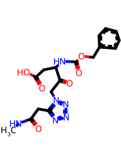 CNC(=O)Cc1nnnn1CC(=O)C(CC(=O)O)NC(=O)OCc1ccccc1